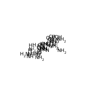 CC(NC(=O)[C@@H](NC(=O)C(N)CCCCN)[C@@H](O)CN)C(=O)NCC(=O)N[C@H](CCCN)C(=O)N(C)[C@@H](C)C(=O)NC(Cc1cnc[nH]1)C(=O)N[C@@H](CCCCN)C(=O)N/C(=C\CCNC(=N)N)C(N)=O